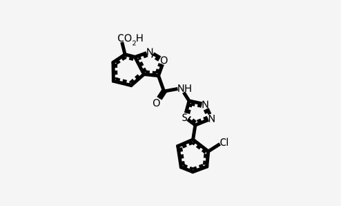 O=C(Nc1nnc(-c2ccccc2Cl)s1)c1onc2c(C(=O)O)cccc12